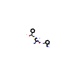 COC(=O)C(c1ccccc1)c1nc2c(s1)c(C=N)c(C(=O)NCc1cccc3[nH]ncc13)n2C